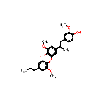 CCCc1ccc(Oc2cc(C(C)Cc3ccc(O)c(OC)c3)cc(OC)c2O)c(OC)c1